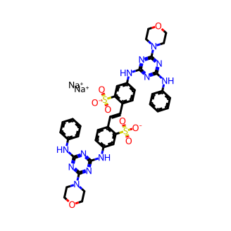 O=S(=O)([O-])c1cc(Nc2nc(Nc3ccccc3)nc(N3CCOCC3)n2)ccc1C=Cc1ccc(Nc2nc(Nc3ccccc3)nc(N3CCOCC3)n2)cc1S(=O)(=O)[O-].[Na+].[Na+]